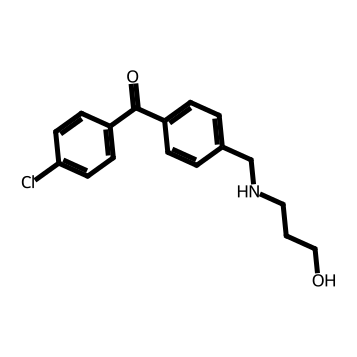 O=C(c1ccc(Cl)cc1)c1ccc(CNCCCO)cc1